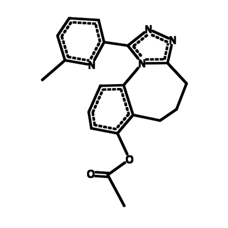 CC(=O)Oc1cccc2c1CCCc1nnc(-c3cccc(C)n3)n1-2